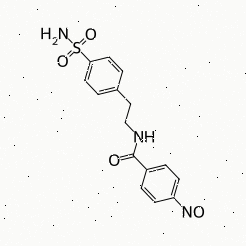 NS(=O)(=O)c1ccc(CCNC(=O)c2ccc(N=O)cc2)cc1